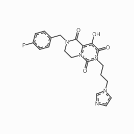 O=C1c2c(O)c(=O)n(CCCn3ccnc3)c(=O)n2CCN1Cc1ccc(F)cc1